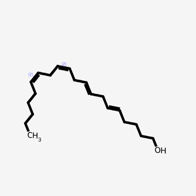 CCCCC/C=C\C/C=C\CC=CCC=CCCCCO